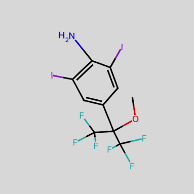 COC(c1cc(I)c(N)c(I)c1)(C(F)(F)F)C(F)(F)F